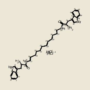 Cl.Cl.NC(Cc1c[nH]c2ccccc12)C(=O)NCCCCCCCCCCCCNC(=O)C(N)Cc1c[nH]c2ccccc12